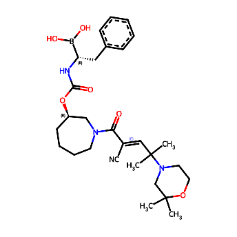 CC1(C)CN(C(C)(C)/C=C(\C#N)C(=O)N2CCCC[C@@H](OC(=O)N[C@@H](Cc3ccccc3)B(O)O)C2)CCO1